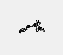 CCN(CCCCC(=O)c1cc2c3c(c1)CCC(=O)N3CCC2)CCc1ccccc1OC